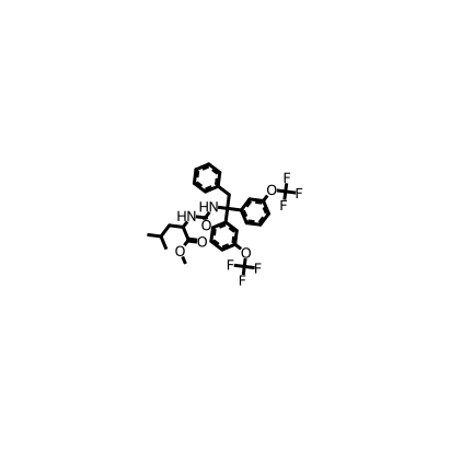 COC(=O)C(CC(C)C)NC(=O)NC(Cc1ccccc1)(c1cccc(OC(F)(F)F)c1)c1cccc(OC(F)(F)F)c1